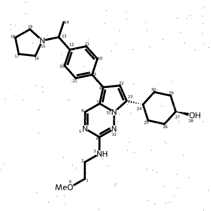 COCCNc1ncc2c(-c3ccc(C(C)N4CCCC4)cc3)cc([C@H]3CC[C@H](O)CC3)n2n1